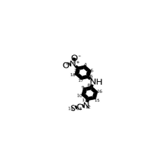 O=[N+]([O-])c1ccc(Nc2ccc(N=C=S)cc2)cc1